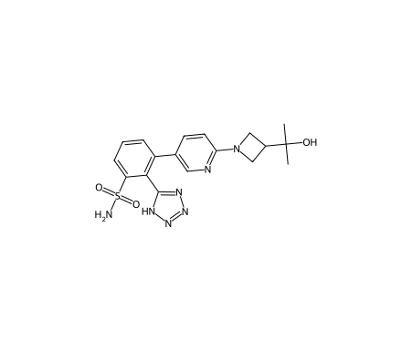 CC(C)(O)C1CN(c2ccc(-c3cccc(S(N)(=O)=O)c3-c3nnn[nH]3)cn2)C1